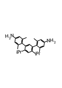 Cc1cc(N)cc(C)c1-c1cc(-c2c(C)cc(N)cc2C)c(C(C)C)cc1C(C)C